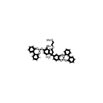 COCCOC(=O)CC(C)(c1ccc(Op2oc3ccccc3c3ccccc3o2)c(C(C)(C)C)c1)c1ccc(Op2oc3ccccc3c3ccccc3o2)c(C(C)(C)C)c1